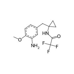 COc1ccc(CC2(NC(=O)C(F)(F)F)CC2)cc1N